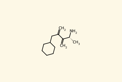 C=C(CC1CCCCC1)C(=C)[C@@H](C)N